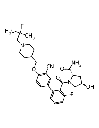 CC(C)(F)CN1CCC(COc2ccc(-c3cccc(F)c3C(=O)N3C[C@H](O)C[C@H]3C(N)=O)cc2C#N)CC1